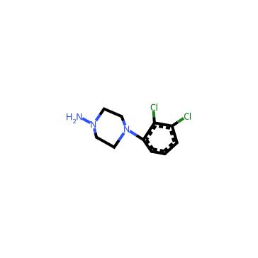 NN1CCN(c2cccc(Cl)c2Cl)CC1